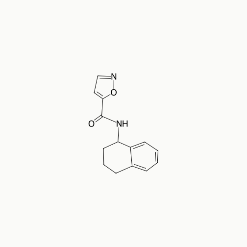 O=C(NC1CCCc2ccccc21)c1ccno1